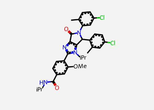 COc1cc(C(=O)NC(C)C)ccc1-c1nc2c(n1C(C)C)C(c1ccc(Cl)cc1C)N(c1cc(Cl)ccc1C)C2=O